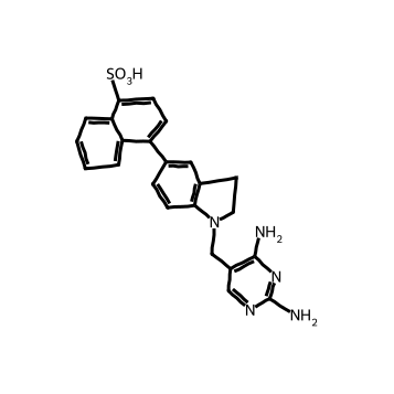 Nc1ncc(CN2CCc3cc(-c4ccc(S(=O)(=O)O)c5ccccc45)ccc32)c(N)n1